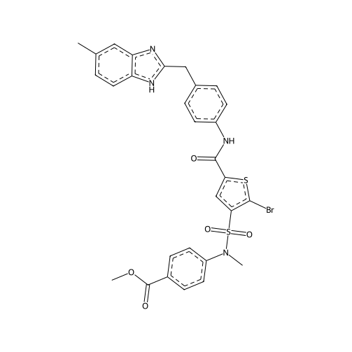 COC(=O)c1ccc(N(C)S(=O)(=O)c2cc(C(=O)Nc3ccc(Cc4nc5cc(C)ccc5[nH]4)cc3)sc2Br)cc1